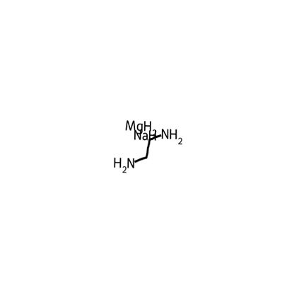 NCCN.[MgH2].[NaH]